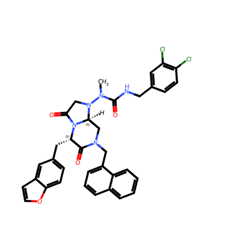 CN(C(=O)NCc1ccc(Cl)c(Cl)c1)N1CC(=O)N2[C@@H](Cc3ccc4occc4c3)C(=O)N(Cc3cccc4ccccc34)C[C@@H]21